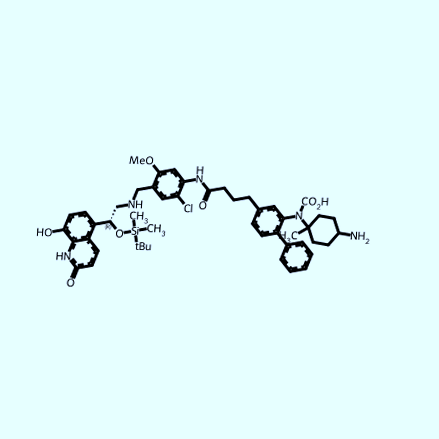 COc1cc(NC(=O)CCCc2ccc(-c3ccccc3)c(N(C(=O)O)C3(C)CCC(N)CC3)c2)c(Cl)cc1CNC[C@H](O[Si](C)(C)C(C)(C)C)c1ccc(O)c2[nH]c(=O)ccc12